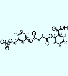 O=C(CCC(=O)Oc1ccccc1C(=O)O)Oc1cccc(CO[N+](=O)[O-])c1